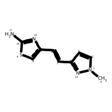 Cn1ccc(C=Cc2csc(N)n2)n1